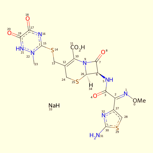 CON=C(C(=O)N[C@@H]1C(=O)N2C(C(=O)O)=C(CSc3nc(=O)c(=O)[nH]n3C)CS[C@H]12)c1csc(N)n1.[NaH]